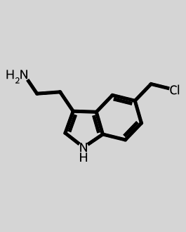 NCCc1c[nH]c2ccc(CCl)cc12